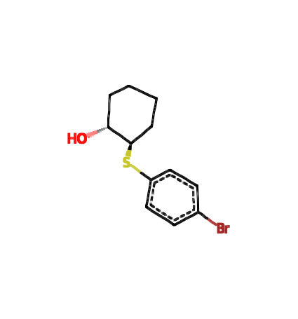 O[C@@H]1CCCC[C@H]1Sc1ccc(Br)cc1